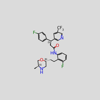 C[C@H]1CO[C@H](CCc2c(F)cccc2NC(=O)C[C@@H](c2ccc(F)cc2)c2cncc(C(F)(F)F)c2)CN1